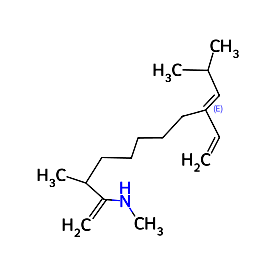 C=C/C(=C/C(C)C)CCCCCC(C)C(=C)NC